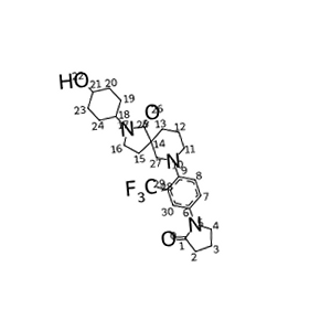 O=C1CCCN1c1ccc(N2CCCC3(CCN(C4CCC(O)CC4)C3=O)C2)c(C(F)(F)F)c1